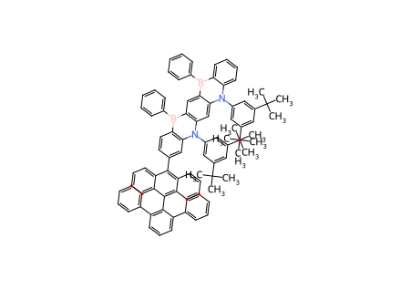 CC(C)(C)c1cc(N2c3ccccc3B(c3ccccc3)c3cc4c(cc32)N(c2cc(C(C)(C)C)cc(C(C)(C)C)c2)c2cc(-c3c5ccccc5c(-c5c(-c6ccccc6)cccc5-c5ccccc5)c5ccccc35)ccc2B4c2ccccc2)cc(C(C)(C)C)c1